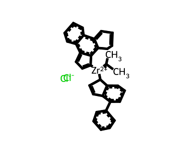 C[C](C)=[Zr+2]([C]1=CC=c2c1c1c(c3ccccc23)=CC=CC1)[CH]1C=Cc2c(-c3ccccc3)cccc21.[Cl-].[Cl-]